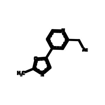 CC(=O)Cc1cc(-c2cnc(C)o2)ccn1